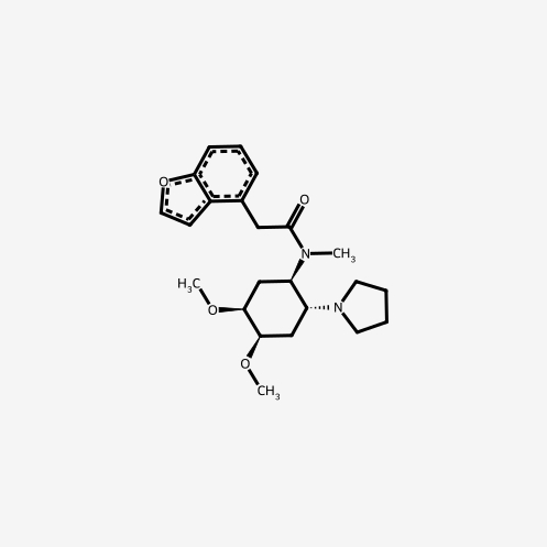 CO[C@H]1C[C@@H](N(C)C(=O)Cc2cccc3occc23)[C@H](N2CCCC2)C[C@H]1OC